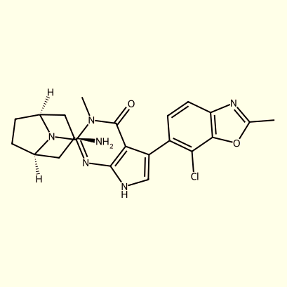 Cc1nc2ccc(-c3c[nH]c4nc(N5[C@@H]6CC[C@H]5C[C@@H](N)C6)n(C)c(=O)c34)c(Cl)c2o1